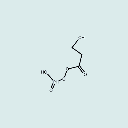 O=C(CCO)OO[PH](=O)O